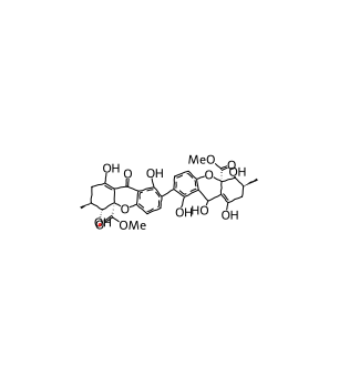 COC(=O)[C@@]12Oc3ccc(-c4ccc5c(c4O)C(O)C4=C(O)C[C@H](C)[C@@H](O)[C@]4(C(=O)OC)O5)c(O)c3C(=O)C1=C(O)C[C@H](C)[C@H]2O